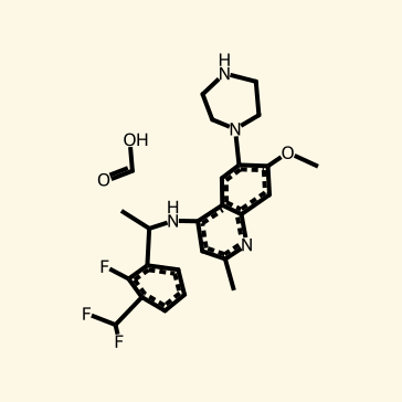 COc1cc2nc(C)cc(NC(C)c3cccc(C(F)F)c3F)c2cc1N1CCNCC1.O=CO